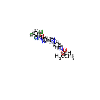 CC(C)(C)OC(=O)N1CC2(CCC(n3cc(-c4cnc5c(c4)O[C@@H](c4c(Cl)ccc(F)c4Cl)N5)cn3)CC2)C1